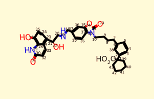 O=C(O)C1(c2cccc(CCCCn3c(=O)oc4cc(CNC[C@H](O)c5ccc(O)c6[nH]c(=O)ccc56)ccc43)c2)CCCCC1